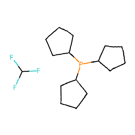 C1CCC(P(C2CCCC2)C2CCCC2)C1.FC(F)F